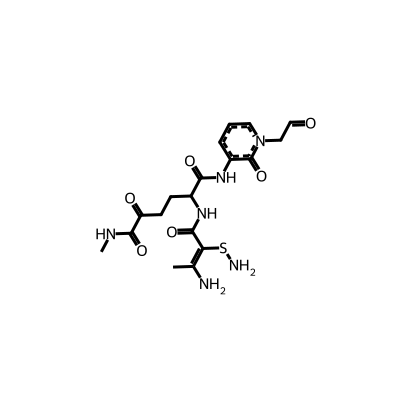 CNC(=O)C(=O)CCC(NC(=O)/C(SN)=C(\C)N)C(=O)Nc1cccn(CC=O)c1=O